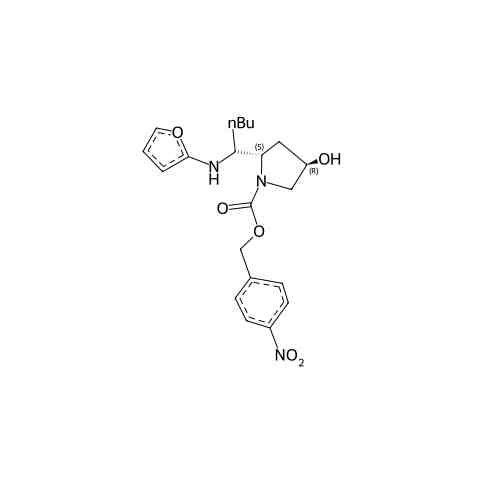 CCCCC(Nc1ccco1)[C@@H]1C[C@@H](O)CN1C(=O)OCc1ccc([N+](=O)[O-])cc1